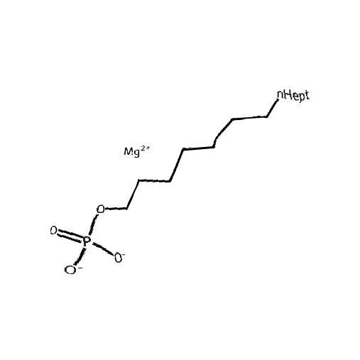 CCCCCCCCCCCCCCOP(=O)([O-])[O-].[Mg+2]